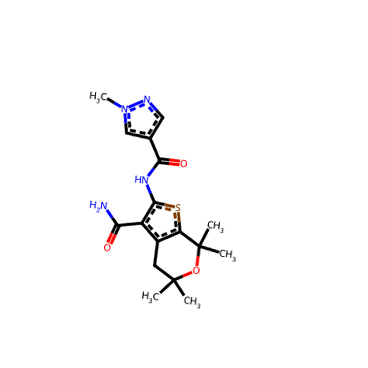 Cn1cc(C(=O)Nc2sc3c(c2C(N)=O)CC(C)(C)OC3(C)C)cn1